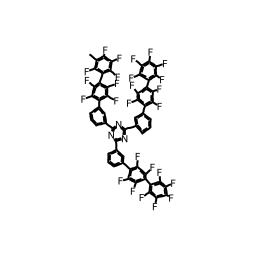 Cc1c(F)c(F)c(F)c(-c2c(F)c(F)c(-c3cccc(-c4nc(-c5cccc(-c6c(F)c(F)c(-c7c(F)c(F)c(F)c(F)c7F)c(F)c6F)c5)nc(-c5cccc(-c6c(F)c(F)c(-c7c(F)c(F)c(F)c(F)c7F)c(F)c6F)c5)n4)c3)c(F)c2F)c1F